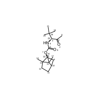 CC(=O)[C@@H](NC(=O)O[C@H]1CC2CCC1(C)C2(C)C)C(C)(C)C